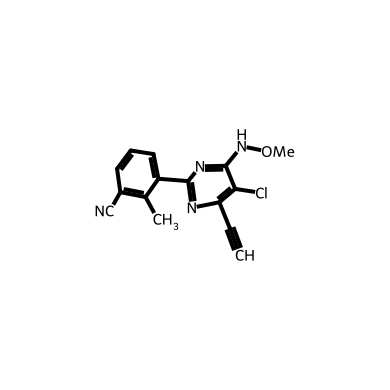 C#Cc1nc(-c2cccc(C#N)c2C)nc(NOC)c1Cl